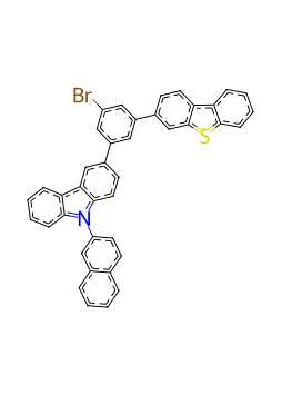 Brc1cc(-c2ccc3c(c2)sc2ccccc23)cc(-c2ccc3c(c2)c2ccccc2n3-c2ccc3ccccc3c2)c1